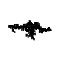 CC(C)(C)OC(=O)CCNC(=O)C(=O)C(CC1CC1)NC(=O)[C@@H]1[C@@H]2[C@H](CN1C(=O)[C@@H](NC(=O)NCC(=O)OCC1CC1)C(C)(C)C)C2(C)C